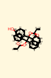 C=CC(=O)OC(c1ccccc1)(c1ccccc1)C(OC(=O)C=C)(c1ccccc1)c1ccc(O)cc1